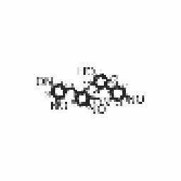 O=Nc1cc(Cc2ccc(N=O)c3c2Oc2c(O)cc4oc5cc(N=O)cc(N=O)c5c4c2O3)cc(N=O)c1